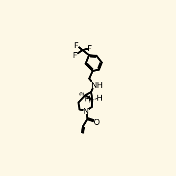 C=CC(=O)N1CC[C@H]2C(NCc3cccc(C(F)(F)F)c3)[C@H]2C1